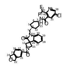 O=C(N[C@H]1CC[C@H](CN2C(=O)C3(CN(C(=O)c4ccc5c(c4)COC5)C3)c3ccccc32)CC1)c1cc(Cl)cnc1C(F)F